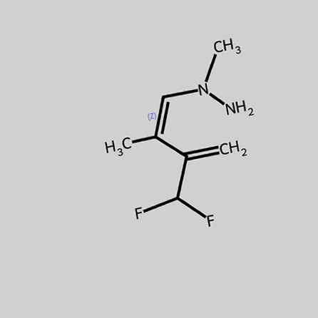 C=C(/C(C)=C\N(C)N)C(F)F